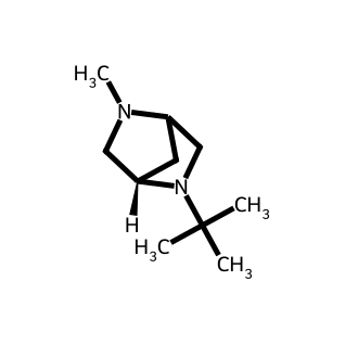 CN1C[C@@H]2CC1CN2C(C)(C)C